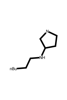 CCCCCCNC1CC[N]C1